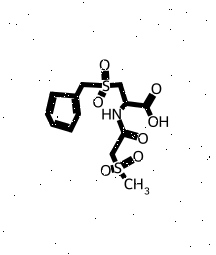 CS(=O)(=O)CC(=O)NC(CS(=O)(=O)Cc1ccccc1)C(=O)O